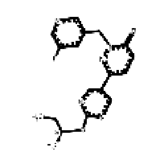 CC[C@H](C)Oc1ncc(-c2ccc(=O)n(Cc3cncc(F)c3)n2)cn1